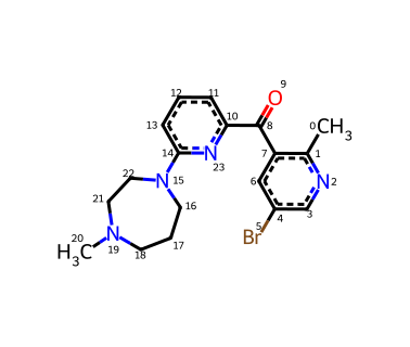 Cc1ncc(Br)cc1C(=O)c1cccc(N2CCCN(C)CC2)n1